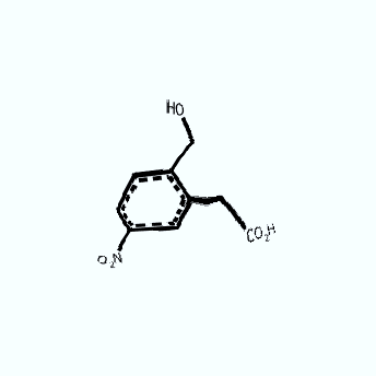 O=C(O)Cc1cc([N+](=O)[O-])ccc1CO